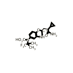 CC(C)(N(C(=O)O)c1ccc2c(c1)NC[C@H](C[C@H](C(N)=O)C1CC1)O2)C(F)(F)F